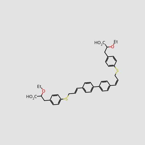 CCOC(Cc1ccc(SC/C=C\c2ccc(-c3ccc(/C=C/CSc4ccc(CC(OCC)C(=O)O)cc4)cc3)cc2)cc1)C(=O)O